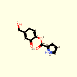 O=C1C=C(CO)CC=C1OC(=O)c1ccc[nH]1